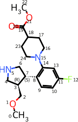 COC[C@H]1CNC[C@@H]1c1ccc(F)cc1N1CCC(C(=O)OC)CC1